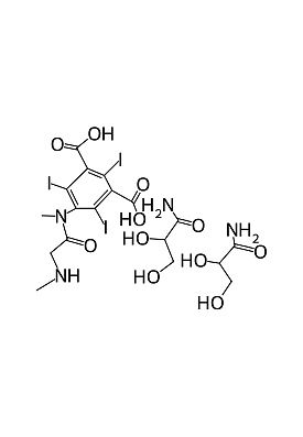 CNCC(=O)N(C)c1c(I)c(C(=O)O)c(I)c(C(=O)O)c1I.NC(=O)C(O)CO.NC(=O)C(O)CO